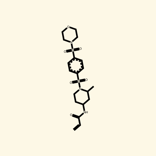 C=CC(=O)NC1CCN(S(=O)(=O)c2ccc(S(=O)(=O)N3CCOCC3)cc2)C(C)C1